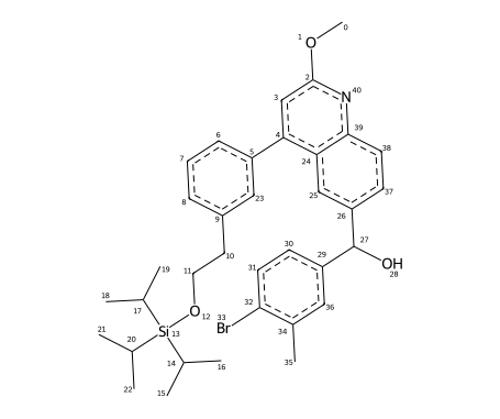 COc1cc(-c2cccc(CCO[Si](C(C)C)(C(C)C)C(C)C)c2)c2cc(C(O)c3ccc(Br)c(C)c3)ccc2n1